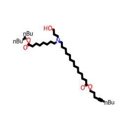 CCCCC#CCCCOC(=O)CCCCCCCCCCCCCN(CCCO)CCCCCCCC(=O)OC(CCCC)CCCC